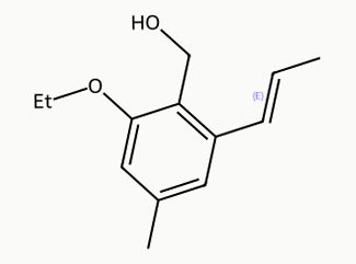 C/C=C/c1cc(C)cc(OCC)c1CO